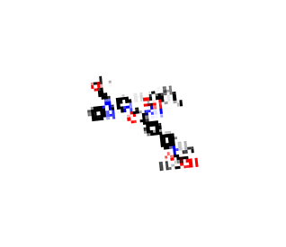 COCCCn1c([C@@H]2CCCN(C(=O)C[C@@H](Cc3ccc(-c4ccc(NC(=O)C(C)(C)O)cc4)cc3)NC(=O)OC(C)(C)C)C2)nc2ccccc21